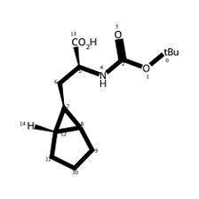 CC(C)(C)OC(=O)N[C@@H](C[C@H]1C2CCC[C@@H]21)C(=O)O